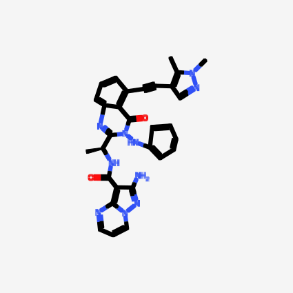 Cc1c(C#Cc2cccc3nc([C@H](C)NC(=O)c4c(N)nn5cccnc45)n(Nc4ccccc4)c(=O)c23)cnn1C